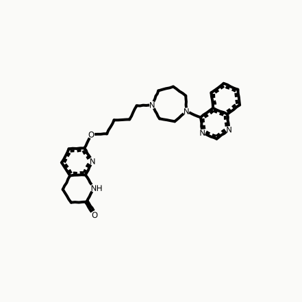 O=C1CCc2ccc(OCCCCN3CCCN(c4ncnc5ccccc45)CC3)nc2N1